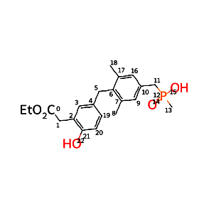 CCOC(=O)Cc1cc(Cc2c(C)cc(CP(C)(=O)O)cc2C)ccc1O